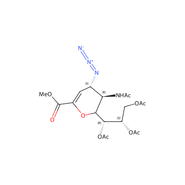 COC(=O)C1=C[C@H](N=[N+]=[N-])[C@@H](NC(C)=O)C([C@@H](OC(C)=O)[C@H](COC(C)=O)OC(C)=O)O1